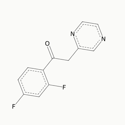 O=C(Cc1cnccn1)c1ccc(F)cc1F